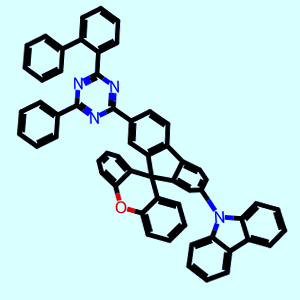 c1ccc(-c2nc(-c3ccc4c(c3)C3(c5ccccc5Oc5ccccc53)c3cc(-n5c6ccccc6c6ccccc65)ccc3-4)nc(-c3ccccc3-c3ccccc3)n2)cc1